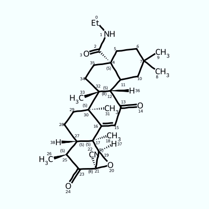 CCNC(=O)[C@]12CCC(C)(C)CC1[C@@H]1C(=O)C=C3[C@@]4(C)[C@H]5O[C@@]5(C#N)C(=O)[C@@H](C)[C@@H]4CC[C@@]3(C)[C@]1(C)CC2